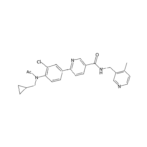 CC(=O)N(CC1CC1)c1ccc(-c2ccc(C(=O)NCc3cnccc3C)cn2)cc1Cl